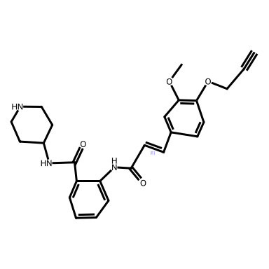 C#CCOc1ccc(/C=C/C(=O)Nc2ccccc2C(=O)NC2CCNCC2)cc1OC